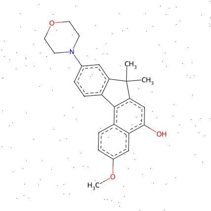 COc1ccc2c3c(cc(O)c2c1)C(C)(C)c1cc(N2CCOCC2)ccc1-3